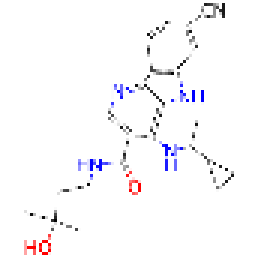 CC(Nc1c(C(=O)NCCC(C)(C)O)cnc2c1[nH]c1cc(C#N)ccc12)C1CC1